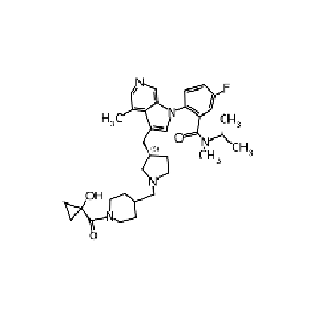 Cc1cncc2c1c(C[C@H]1CCN(CC3CCN(C(=O)C4(O)CC4)CC3)C1)cn2-c1ccc(F)cc1C(=O)N(C)C(C)C